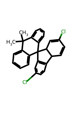 CC1(C)c2ccccc2C2(c3cc(Cl)ccc3C3C=CC(Cl)=CC32)c2ccccc21